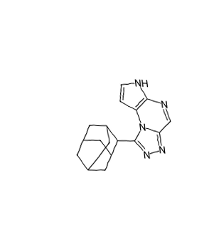 c1cc2c(ncc3nnc(C4C5CC6CC(C5)CC4C6)n32)[nH]1